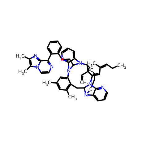 C=C\C1=C2\CCCCN3c4cccnc4N(/C1=C/C(C)=C\CC)C3Cc1c(C)cc(C)cc1N1c3ncccc3N2C1CCc1ccccc1-c1nccn2c(C)c(C)nc12